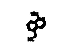 CC(C)(C)c1nccc2c(CC#N)cccc12